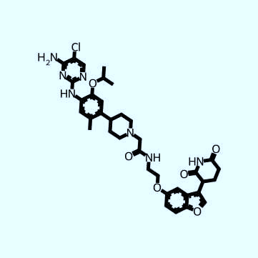 Cc1cc(Nc2ncc(Cl)c(N)n2)c(OC(C)C)cc1C1CCN(CC(=O)NCCOc2ccc3occ(C4CCC(=O)NC4=O)c3c2)CC1